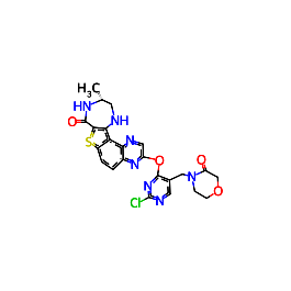 C[C@@H]1CNc2c(sc3ccc4nc(Oc5nc(Cl)ncc5CN5CCOCC5=O)cnc4c23)C(=O)N1